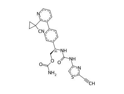 C#Cc1nc(NC(=O)N[C@@H](COC(N)=O)c2ccc(-c3cccnc3C3(C#N)CC3)cc2)cs1